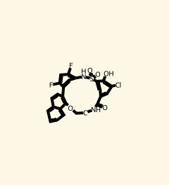 O=C1NCCOc2c(ccc3ccccc23)-c2cc(c(F)cc2F)NS(=O)(=O)c2cc1cc(Cl)c2O